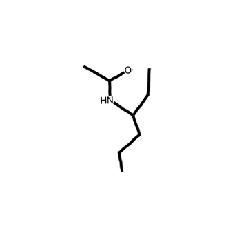 CCCC(CC)NC(C)[O]